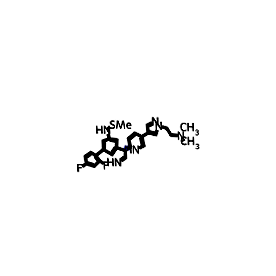 CSNc1cc(/C(C=N)=C2\C=CC(c3cnn(CCN(C)C)c3)=CN2)cc(-c2ccc(F)cc2F)c1